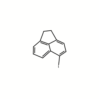 Ic1ccc2c3c(cccc13)CC2